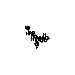 CC(C)(C)OC(=O)Nc1cccc(C(=O)Nc2ccc(NC(=O)NCCc3cccnc3)cc2C#Cc2ccc(F)cc2)c1